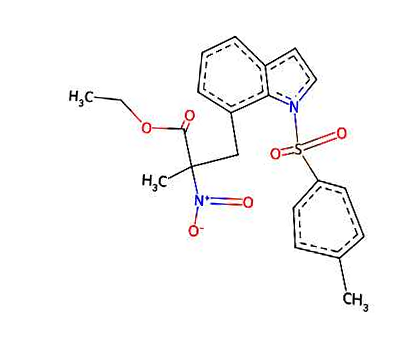 CCOC(=O)C(C)(Cc1cccc2ccn(S(=O)(=O)c3ccc(C)cc3)c12)[N+](=O)[O-]